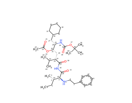 CC[C@H](C)[C@H](NCCc1ccccc1)C(=O)NC(=O)[C@@H](C[C@H](OC(C)=O)[C@H](CC1CCCCC1)NC(=O)OC(C)(C)C)C(C)C